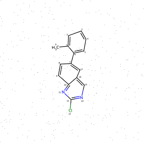 Cc1ccccc1-c1ccc2nc(Cl)ncc2c1